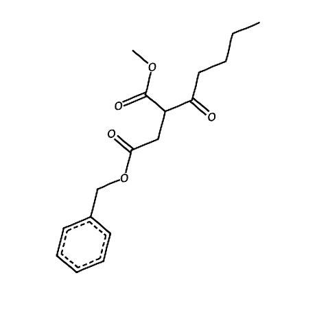 CCCCC(=O)C(CC(=O)OCc1ccccc1)C(=O)OC